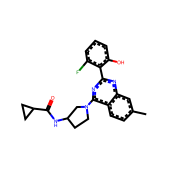 Cc1ccc2c(N3CCC(NC(=O)C4CC4)C3)nc(-c3c(O)cccc3F)nc2c1